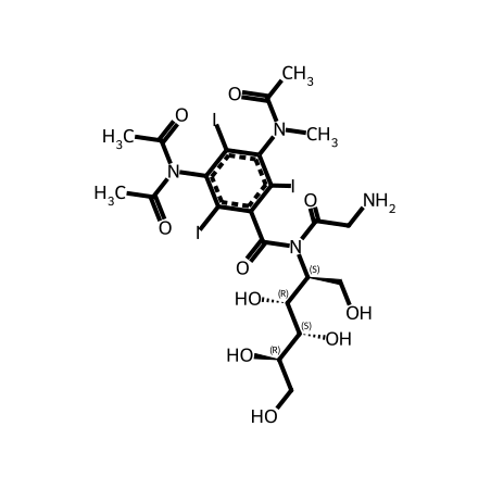 CC(=O)N(C)c1c(I)c(C(=O)N(C(=O)CN)[C@@H](CO)[C@@H](O)[C@H](O)[C@H](O)CO)c(I)c(N(C(C)=O)C(C)=O)c1I